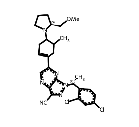 COC[C@@H]1CCCN1C1CC=C(c2cnc3c(C#N)nn([C@H](C)c4ccc(Cl)cc4Cl)c3n2)CC1C